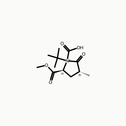 COC(=O)[C@@H]1C[C@@H](C)C(=O)[N+]1(C(=O)O)C(C)(C)C